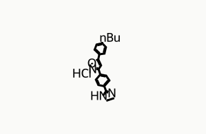 CCCCc1ccc(-c2cc(-c3ccc(C4=NCCN4)cc3)no2)cc1.Cl